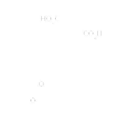 O=C(O)C(Cc1cccc2c1OOCC2)C(=O)O